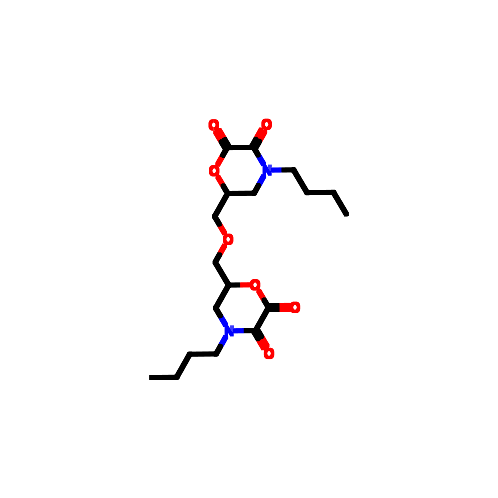 CCCCN1CC(COCC2CN(CCCC)C(=O)C(=O)O2)OC(=O)C1=O